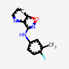 Fc1ccc(Nc2noc3cccnc23)cc1C(F)(F)F